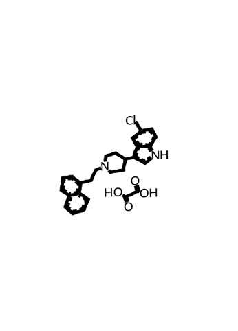 Clc1ccc2[nH]cc(C3CCN(CCc4cccc5ccccc45)CC3)c2c1.O=C(O)C(=O)O